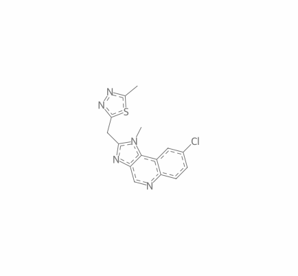 Cc1nnc(Cc2nc3cnc4ccc(Cl)cc4c3n2C)s1